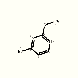 CCCSc1nccc(CC)n1